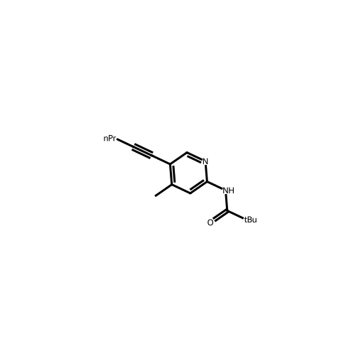 CCCC#Cc1cnc(NC(=O)C(C)(C)C)cc1C